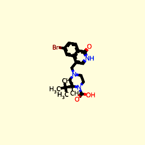 CC(C)(C)[C@@]1(C)CN(Cc2c[nH]c(=O)c3ccc(Br)cc23)CCN1C(=O)O